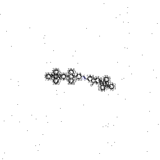 CC1c2cc(/C=C/C3=CC=C(C4=c5ccccc5=C(C5=CC=C(N6c7ccccc7N(C7=CC=CCC7)C7C=CC=CC76)CC5)C5C=CC=CC45)CC3)ccc2-c2ccc(N3c4ccccc4N(c4ccccc4)c4ccccc43)cc21